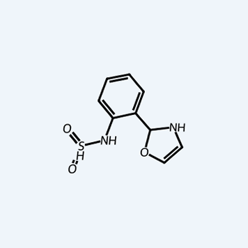 O=[SH](=O)Nc1ccccc1C1NC=CO1